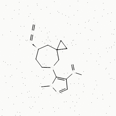 Cn1ncc([N+](=O)[O-])c1N1CC[C@@H](N=[N+]=[N-])[C@H](O)C2(CC2)C1